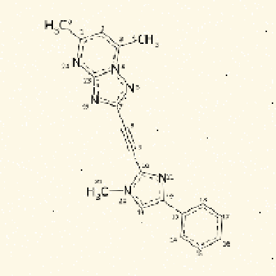 Cc1cc(C)n2nc(C#Cc3nc(-c4ccccc4)cn3C)nc2n1